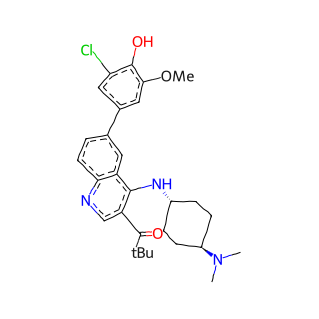 COc1cc(-c2ccc3ncc(C(=O)C(C)(C)C)c(N[C@H]4CC[C@H](N(C)C)CC4)c3c2)cc(Cl)c1O